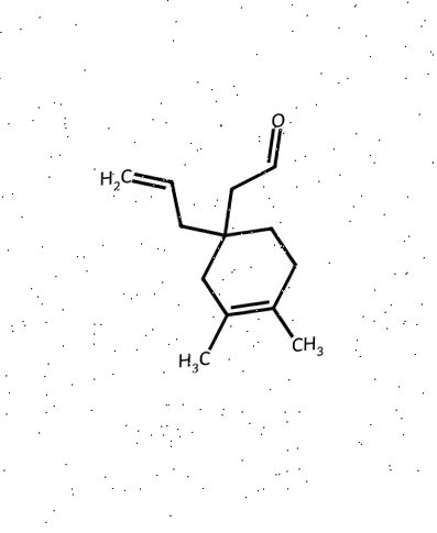 C=CCC1(CC=O)CCC(C)=C(C)C1